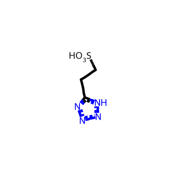 O=S(=O)(O)CCc1nnn[nH]1